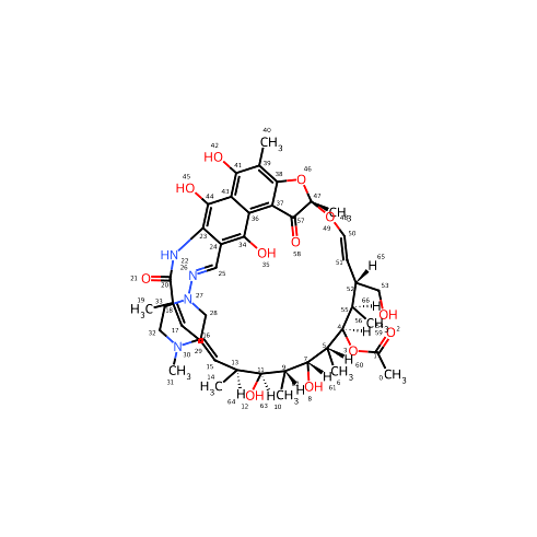 CC(=O)O[C@H]1[C@H](C)[C@H](O)[C@H](C)[C@@H](O)[C@@H](C)/C=C/C=C(/C)C(=O)Nc2c(/C=N/N3CCN(C)CC3)c(O)c3c4c(c(C)c(O)c3c2O)O[C@](C)(O/C=C/[C@H](CO)[C@H]1C)C4=O